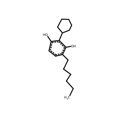 CCCCCCc1ccc(O)c(C2CCCCC2)c1O